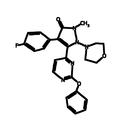 Cn1c(=O)c(-c2ccc(F)cc2)c(-c2ccnc(Oc3ccccc3)n2)n1N1CCOCC1